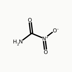 NC(=O)[N+](=O)[O-]